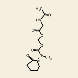 CC(=O)NCC(=O)OCOC(=O)N(C)[C@@H]1CCCCC1=O